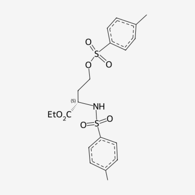 CCOC(=O)[C@H](CCOS(=O)(=O)c1ccc(C)cc1)NS(=O)(=O)c1ccc(C)cc1